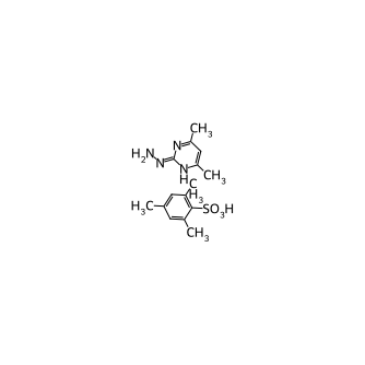 Cc1cc(C)[nH]c(=NN)n1.Cc1cc(C)c(S(=O)(=O)O)c(C)c1